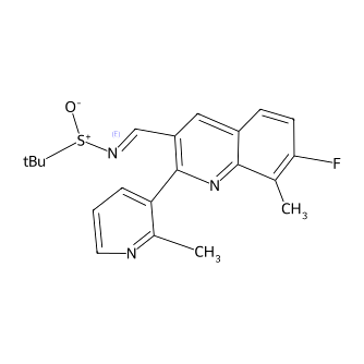 Cc1ncccc1-c1nc2c(C)c(F)ccc2cc1/C=N/[S+]([O-])C(C)(C)C